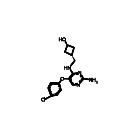 Nc1ncc(Oc2ccc(Cl)cc2)c(NC[C@H]2C[C@H](O)C2)n1